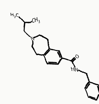 CC(C)CN1CCc2ccc(C(=O)NCc3ccccc3)cc2CC1